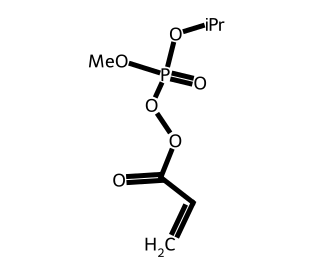 C=CC(=O)OOP(=O)(OC)OC(C)C